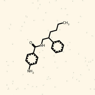 CCCCC(CNC(=O)c1ccc(N)cc1)c1ccccc1